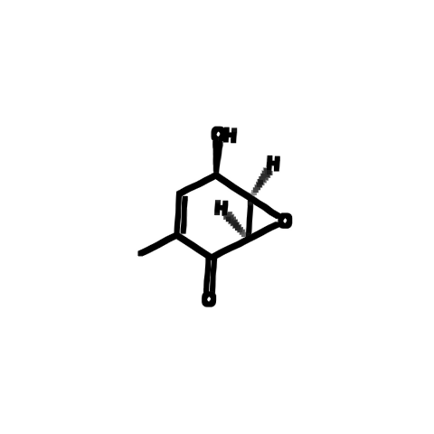 CC1=C[C@@H](O)[C@H]2O[C@H]2C1=O